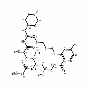 COCCCCOc1cc(C)ccc1C(=O)NC[C@@H](C[C@H](NC(=O)OC(C)(C)C)[C@@H](O)C[C@H](C(=O)NCCN1CCOCC1)C(C)C)C(C)C